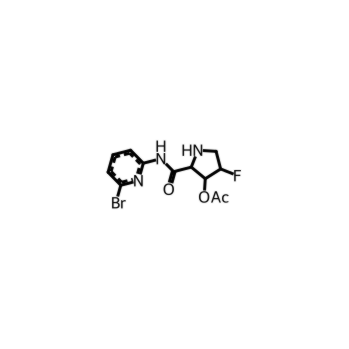 CC(=O)OC1C(F)CNC1C(=O)Nc1cccc(Br)n1